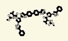 COC(=O)N[C@H](C(=O)N1C[C@H](n2cc(-c3ccccc3)nn2)C[C@H]1c1ncc(-c2ccc(-c3ccc(-c4cnc([C@@H]5C[C@@H](n6cc(-c7ccccc7)nn6)CN5C(=O)[C@@H](NC(=O)OC)C(C)C)[nH]4)cc3)cc2)[nH]1)C(C)C